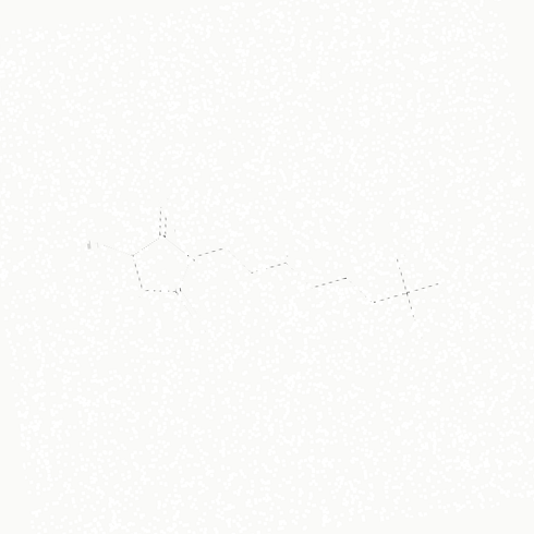 CC(C)C1CC(=O)N(CCCCCCC(C)(C)C=O)C1=O